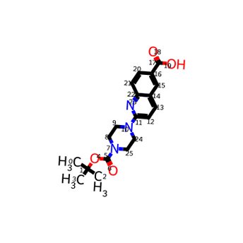 CC(C)(C)OC(=O)N1CCN(c2ccc3cc(C(=O)O)ccc3n2)CC1